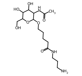 CC(=O)NC1C(OCCCCC(=O)NCCCN)OC(CO)C(O)C1O